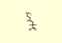 CC(C)(CNCCN)[N+](=O)[O-]